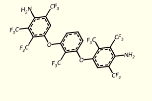 Nc1c(C(F)(F)F)cc(Oc2cccc(Oc3cc(C(F)(F)F)c(N)c(C(F)(F)F)c3C(F)(F)F)c2C(F)(F)F)c(C(F)(F)F)c1C(F)(F)F